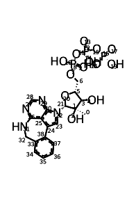 C[C@@]1(O)[C@H](O)[C@@H](COP(=O)(O)OP(=O)(O)OP(=O)(O)O)O[C@H]1n1cc2c3c(ncnc31)NCc1ccccc1-2